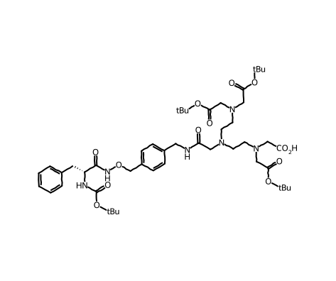 CC(C)(C)OC(=O)CN(CCN(CCN(CC(=O)OC(C)(C)C)CC(=O)OC(C)(C)C)CC(=O)NCc1ccc(CONC(=O)[C@@H](Cc2ccccc2)NC(=O)OC(C)(C)C)cc1)CC(=O)O